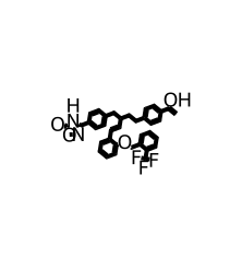 C=C(O)c1ccc(CCC(/C=C/c2ccccc2OCc2ccccc2C(F)(F)F)Cc2ccc(-c3noc(=O)[nH]3)cc2)cc1